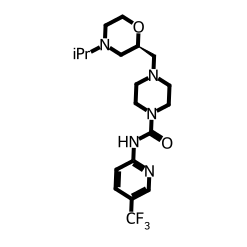 CC(C)N1CCO[C@@H](CN2CCN(C(=O)Nc3ccc(C(F)(F)F)cn3)CC2)C1